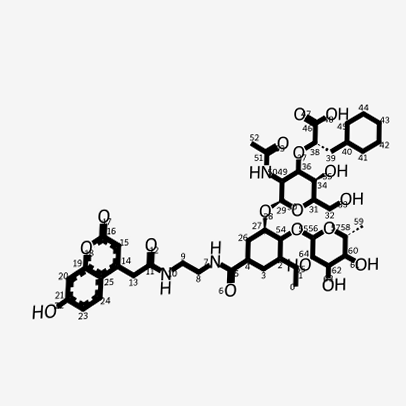 CCC1CC(C(=O)NCCNC(=O)Cc2cc(=O)oc3cc(O)ccc23)C[C@@H](O[C@@H]2OC(CO)[C@H](O)C(O[C@@H](CC3CCCCC3)C(=O)O)C2NC(C)=O)C1OC1O[C@H](C)C(O)C(O)[C@@H]1O